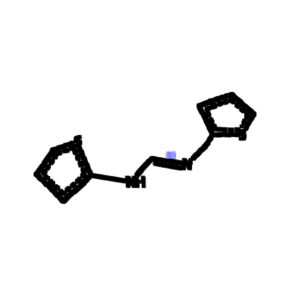 C(=N\c1cccs1)/Nc1cccs1